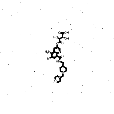 Nc1c(Br)cc(C(=O)NCC2CCN(CC3CCOCC3)CC2)c2ncc(OC(=O)C(O)C(O)C(=O)O)cc12